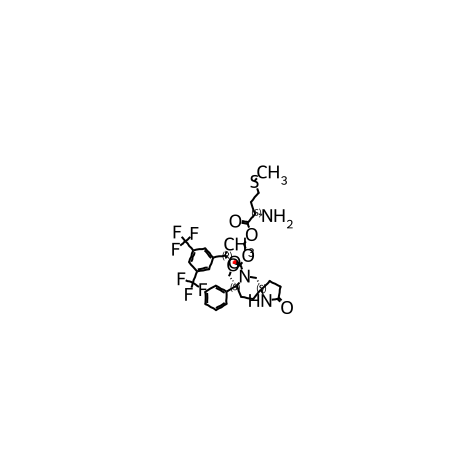 CSCC[C@H](N)C(=O)OCOC(=O)N1C[C@@]2(CCC(=O)N2)CC[C@@]1(CO[C@H](C)c1cc(C(F)(F)F)cc(C(F)(F)F)c1)c1ccccc1